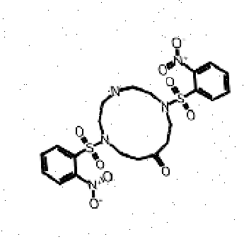 O=C1CCN(S(=O)(=O)c2ccccc2[N+](=O)[O-])CC[N]CCN(S(=O)(=O)c2ccccc2[N+](=O)[O-])CC1